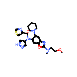 COCCN(C)c1nc2cc(N3CCCCC3)c(N(C(=O)c3cscn3)c3cn[nH]c3)cc2o1